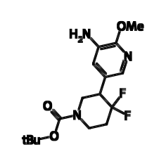 COc1ncc(C2CN(C(=O)OC(C)(C)C)CCC2(F)F)cc1N